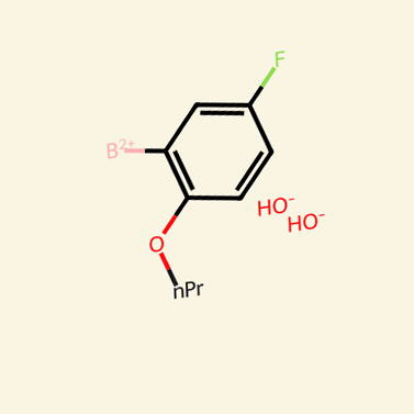 [B+2]c1cc(F)ccc1OCCC.[OH-].[OH-]